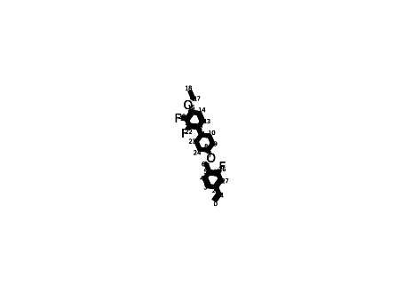 C=Cc1ccc(COC2CCC(c3ccc(OCC)c(F)c3F)CC2)c(F)c1